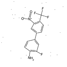 Nc1ccc(-c2ccc(C(F)(F)F)c([N+](=O)[O-])c2)cc1F